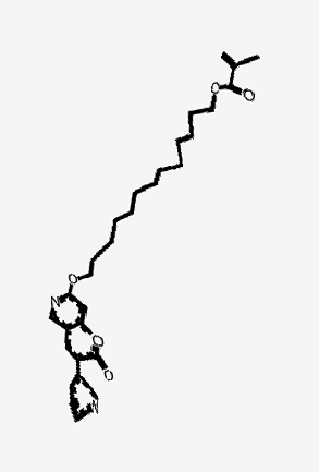 C=C(C)C(=O)OCCCCCCCCCCCCCOc1cc2oc(=O)c(-c3cccnc3)cc2cn1